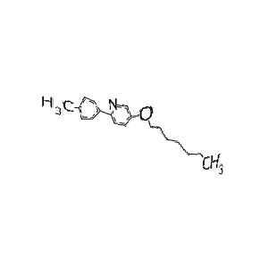 CCCCCCCOc1ccc(-c2ccc(C)cc2)nc1